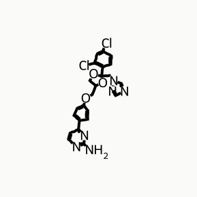 Nc1nccc(-c2ccc(OCC3COC(Cn4cncn4)(c4ccc(Cl)cc4Cl)O3)cc2)n1